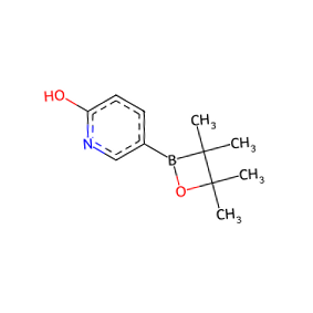 CC1(C)OB(c2ccc(O)nc2)C1(C)C